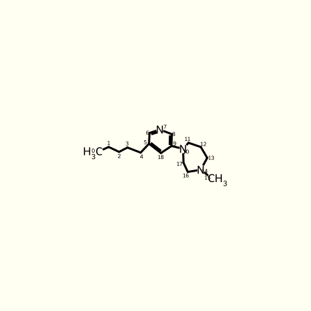 CCCCCc1cncc(N2CCCN(C)CC2)c1